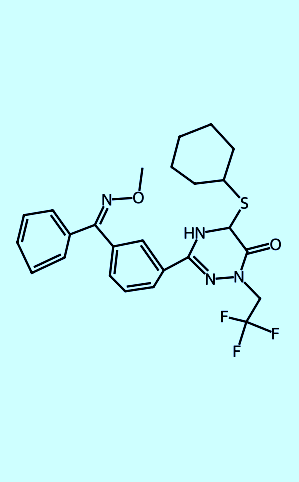 CON=C(c1ccccc1)c1cccc(C2=NN(CC(F)(F)F)C(=O)C(SC3CCCCC3)N2)c1